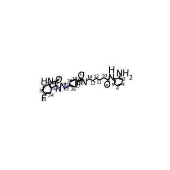 Nc1ccccc1NC(=O)CCCCCNC(=O)c1ccc(/C=N/N=C2\C(=O)Nc3ccc(F)cc32)cc1